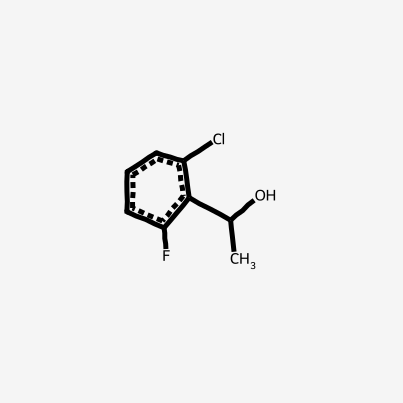 CC(O)c1c(F)cccc1Cl